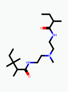 CCC(C)C(=O)NCCN(C)CCNC(=O)C(C)C(C)(C)CC